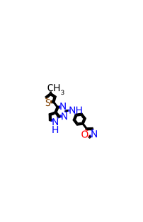 Cc1csc(-c2nc(Nc3ccc(-c4cnco4)cc3)nc3[nH]ccc23)c1